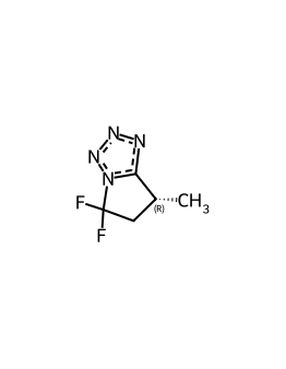 C[C@@H]1CC(F)(F)n2nnnc21